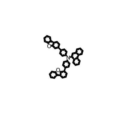 c1ccc2c(c1)cc(N(c1ccc(-c3ccc4c(c3)oc3ccccc34)cc1)c1ccc(-c3cccc4c3oc3ccccc34)cc1)c1ccccc12